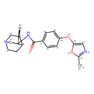 O=C(N[C@H]1CN2CCC1CC2)c1ccc(Oc2cnc(C(F)(F)F)o2)cc1